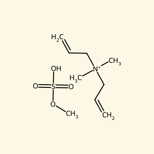 C=CC[N+](C)(C)CC=C.COS(=O)(=O)O